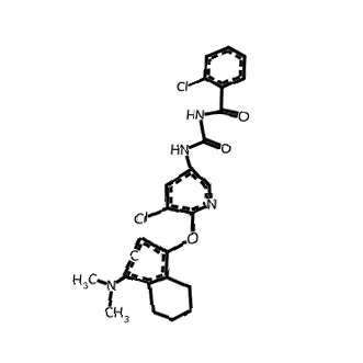 CN(C)c1ccc(Oc2ncc(NC(=O)NC(=O)c3ccccc3Cl)cc2Cl)c2c1CCCC2